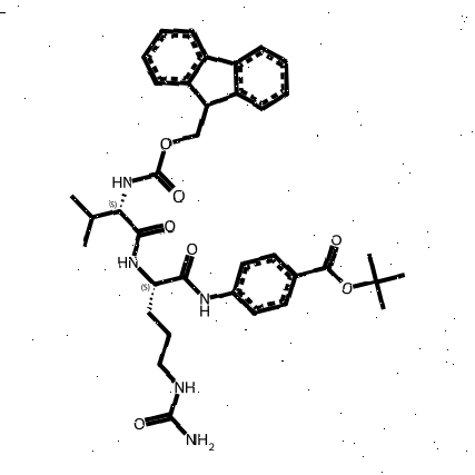 CC(C)[C@H](NC(=O)OCC1c2ccccc2-c2ccccc21)C(=O)N[C@@H](CCCNC(N)=O)C(=O)Nc1ccc(C(=O)OC(C)(C)C)cc1